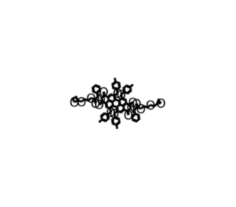 Cc1ccc(Oc2cc3c4c(cc(Oc5ccc(C)cc5)c5c6c(Oc7ccc(C)cc7)cc7c8c(cc(Oc9ccc(C)cc9)c(c2c45)c86)C(=O)N(C(C(=O)OCCOC2CCO2)c2ccccc2)C7=O)C(=O)N(C(C(=O)OCCOCC2CO2)c2ccccc2)C3=O)cc1